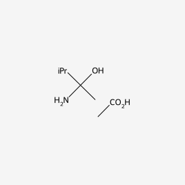 CC(=O)O.CC(C)C(C)(N)O